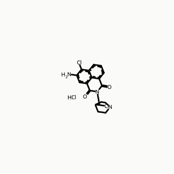 Cl.Nc1cc2c3c(cccc3c1Cl)C(=O)N(C1CN3CCC1CC3)C2=O